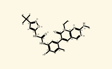 CCn1c(=O)c(-c2cc(NC(=O)Nc3cc(C(C)(C)C)no3)c(F)cc2C)cc2cnc(NC)nc21